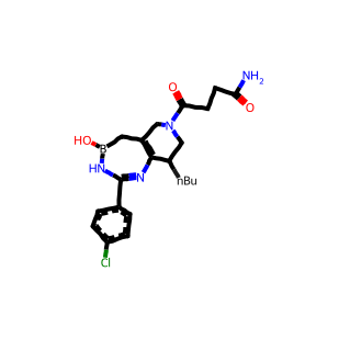 CCCCC1CN(C(=O)CCC(N)=O)CC2=C1N=C(c1ccc(Cl)cc1)NB(O)C2